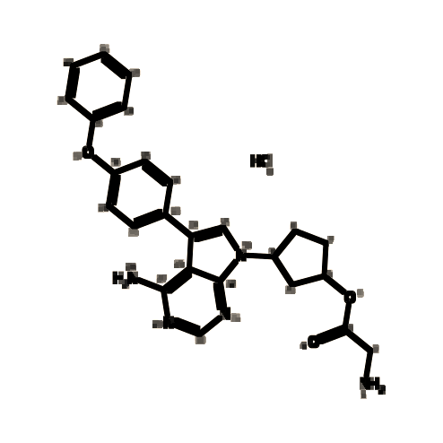 Cl.NCC(=O)OC1CCC(n2cc(-c3ccc(Oc4ccccc4)cc3)c3c(N)ncnc32)C1